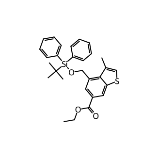 CCOC(=O)c1cc(CO[Si](c2ccccc2)(c2ccccc2)C(C)(C)C)c2c(C)csc2c1